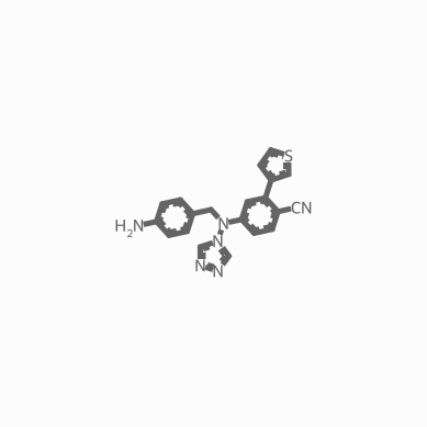 N#Cc1ccc(N(Cc2ccc(N)cc2)n2cnnc2)cc1-c1ccsc1